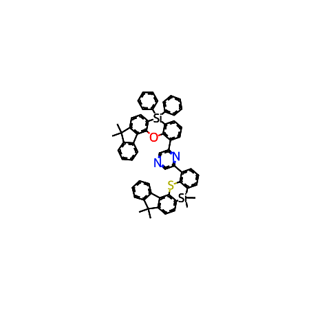 CC1(C)c2ccccc2-c2c1ccc1c2Oc2c(-c3cncc(-c4cccc5c4Sc4c(ccc6c4-c4ccccc4C6(C)C)[Si]5(C)C)n3)cccc2[Si]1(c1ccccc1)c1ccccc1